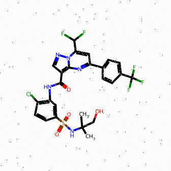 CC(C)(CO)NS(=O)(=O)c1ccc(Cl)c(NC(=O)c2cnn3c(C(F)F)cc(-c4ccc(C(F)(F)F)cc4)nc23)c1